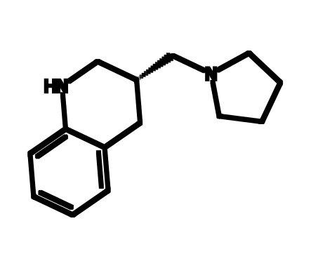 c1ccc2c(c1)C[C@@H](CN1CCCC1)CN2